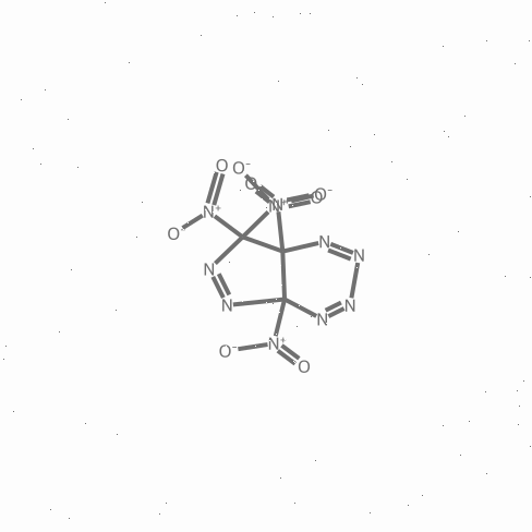 O=[N+]([O-])C12N=NN=NC1([N+](=O)[O-])C([N+](=O)[O-])([N+](=O)[O-])N=N2